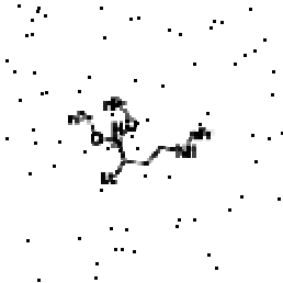 CCCNCCC(CC)[SiH](OCCC)OCCC